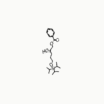 CC(C)[Si](OCCC[C@H](O)COC(=O)c1ccccc1)(C(C)C)C(C)C